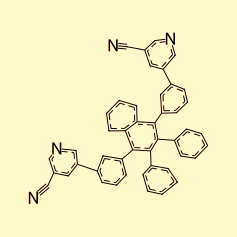 N#Cc1cncc(-c2cccc(-c3c(-c4ccccc4)c(-c4ccccc4)c(-c4cccc(-c5cncc(C#N)c5)c4)c4ccccc34)c2)c1